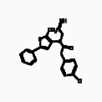 N=CCN(C(=O)Cc1ccc(Cl)cc1)c1cc(-c2ccccc2)sc1C(=O)O